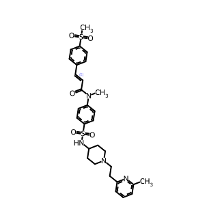 Cc1cccc(CCN2CCC(NS(=O)(=O)c3ccc(N(C)C(=O)/C=C/c4ccc(S(C)(=O)=O)cc4)cc3)CC2)n1